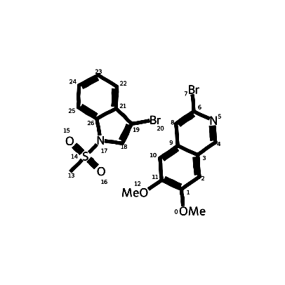 COc1cc2cnc(Br)cc2cc1OC.CS(=O)(=O)n1cc(Br)c2ccccc21